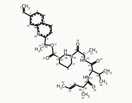 C=Cc1ccc2ccc([C@@H](C)OC(=O)[C@@H]3CCCN(C(=O)[C@H](C)NC(=O)C(NC(=O)[C@H](C)/C=C/C)C(C)C)N3)nc2c1